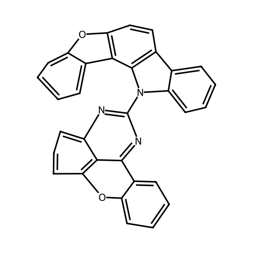 c1ccc2c(c1)Oc1cccc3nc(-n4c5ccccc5c5ccc6oc7ccccc7c6c54)nc-2c13